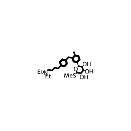 CCN(CC)CCCCc1ccc(Cc2cc([C@@H]3O[C@H](SC)[C@@H](O)[C@H](O)[C@H]3O)ccc2C)cc1